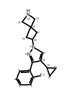 Fc1ccccc1-c1nn(C2CC3(CNC3)C2)cc1C1CC1